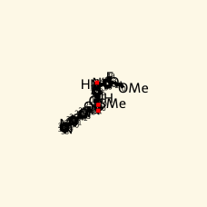 COCCOc1ccc(-c2n[nH]c3ccc(NC(=O)[C@]4(SC)CCN(CC(=O)N5CC=C(c6ccc(-c7ncccn7)cc6)CC5)C4)cc23)cc1F